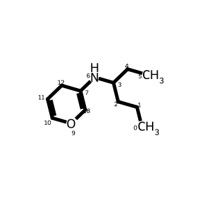 CCCC(CC)NC1=[C]OC=CC1